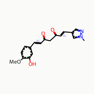 COc1ccc(/C=C/C(=O)CC(=O)/C=C/c2cnn(C)c2)cc1O